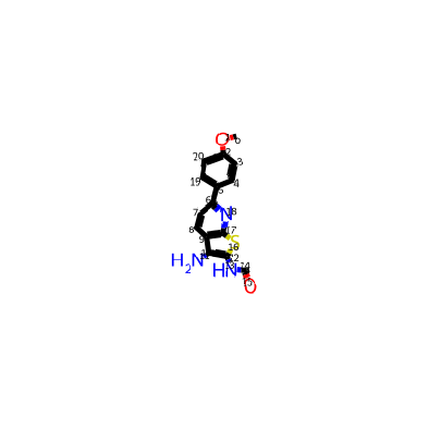 COc1ccc(-c2ccc3c(N)c(NC=O)sc3n2)cc1